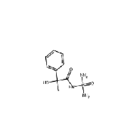 CC(S)(C(=O)NP(N)(N)=O)c1ccccc1